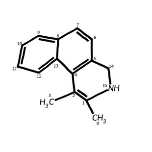 CC1=C(C)c2c(ccc3ccccc23)CN1